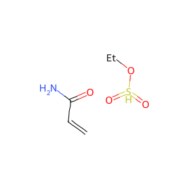 C=CC(N)=O.CCO[SH](=O)=O